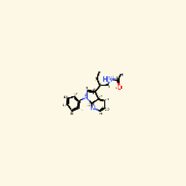 CCC(CNC(C)=O)c1cn(-c2ccccc2)c2ncccc12